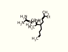 C=CCCC(C/C=C(/C)CC)C(=C)C.CC(=O)O.N=C(N)N